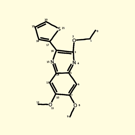 CCOc1nc2cc(OC)c(OC)cc2nc1-c1cccs1